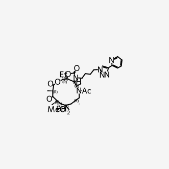 B[C@@H]1[C@@H](C)C(=O)[C@@H](C)C(=O)O[C@H](CC)[C@@]2(C)OC(=O)N(CCCCn3cc(-c4ccccn4)nn3)[C@@H]2[C@@H](C)N(C(C)=O)C[C@H](C)C[C@@]1(C)OC